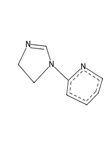 C1=NCCN1c1ccccn1